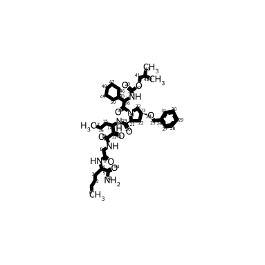 CCCCC(NC(=O)CNC(=O)C(=O)C(CCC)NC(=O)[C@@H]1C[C@@H](OCc2ccccc2)CN1C(=O)C(NC(=O)OCC(C)C)C1CCCCC1)C(N)=O